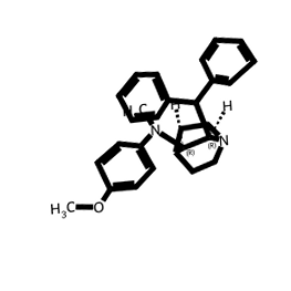 COc1ccc(N(C)[C@@H]2C3CCN(CC3)[C@@H]2C(c2ccccc2)c2ccccc2)cc1